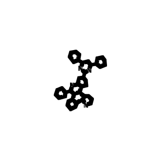 c1ccc(-c2cc(-c3ccccc3)nc(-c3ccc4c(c3)nc(-c3ccccc3)c3c5ccccc5c5ncccc5c43)n2)cc1